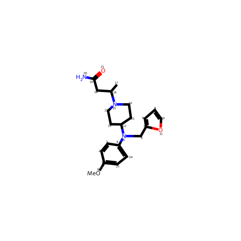 COc1ccc(N(Cc2ccco2)C2CCN(C(C)CC(N)=O)CC2)cc1